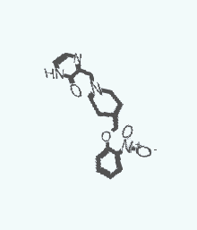 O=c1[nH]ccnc1CN1CCC(COc2ccccc2[N+](=O)[O-])CC1